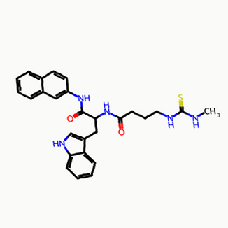 CNC(=S)NCCCC(=O)NC(Cc1c[nH]c2ccccc12)C(=O)Nc1ccc2ccccc2c1